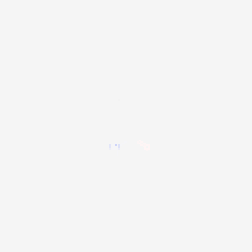 CC(C)(C)NC(=O)c1ccc(I)cc1